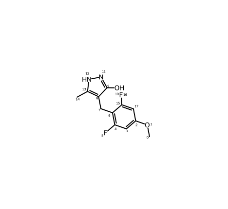 COc1cc(F)c(Cc2c(O)n[nH]c2C)c(F)c1